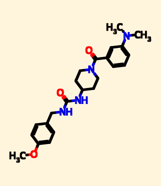 COc1ccc(CNC(=O)NC2CCN(C(=O)c3cccc(N(C)C)c3)CC2)cc1